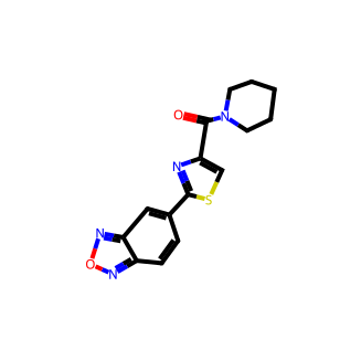 O=C(c1csc(-c2ccc3nonc3c2)n1)N1CCCCC1